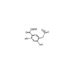 CCCc1cc(CCC)c(C(=O)OC)cc1C[SH](=O)=O